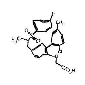 Cc1ccc(Cl)c(-c2cc(CN(C)S(=O)(=O)c3ccc(F)cc3)ccc2OCC(=O)O)c1